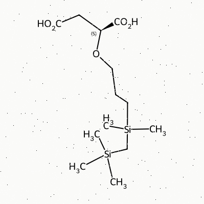 C[Si](C)(C)C[Si](C)(C)CCCO[C@@H](CC(=O)O)C(=O)O